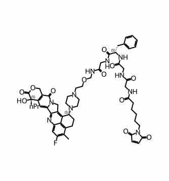 CCC[C@@]1(O)C(=O)OCc2c1cc1n(c2=O)Cc2c-1nc1cc(F)c(C)c3c1c2[C@@H](N1CCN(CCOCNC(=O)CNC(=O)[C@H](Cc2ccccc2)NC(=O)CNC(=O)CNC(=O)CCCCCN2C(=O)C=CC2=O)CC1)CC3